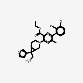 CCOC(=O)c1nc(-c2cccc(Cl)c2Cl)c(C)nc1N1CCC2C(C1)C2(CN)c1ccsc1